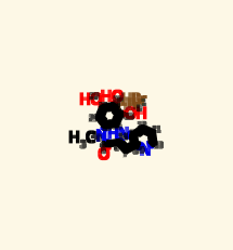 Br.Br.CN(C(=O)c1cc2ncccc2[nH]1)c1cc(O)c(O)c(O)c1